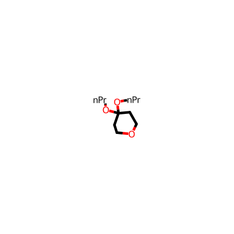 CCCOC1(OCCC)CCOCC1